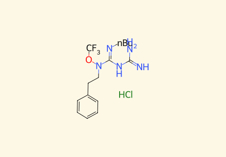 CCCCN=C(NC(=N)N)N(CCc1ccccc1)OC(F)(F)F.Cl